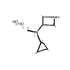 CN(C1CC1)C1CNC1.Cl.Cl